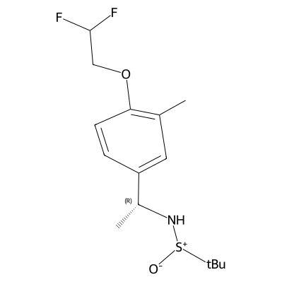 Cc1cc([C@@H](C)N[S+]([O-])C(C)(C)C)ccc1OCC(F)F